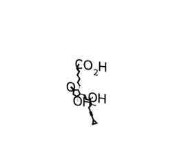 C[C@@H](CC#CC1CC1)[C@H](O)/C=C/[C@H]1[C@H](O)CC(=O)[C@@H]1CCCC/C=C/C(=O)O